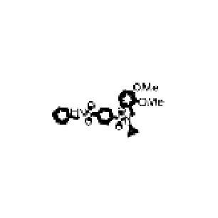 COc1cccc(CN(C2CC2)S(=O)(=O)c2ccc(S(=O)(=O)NCc3ccccc3)cc2)c1OC